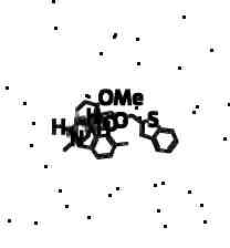 COC12CC[C@@]3(C[C@H]1COCc1cc4ccccc4s1)[C@H]1Cc4ccc(C)c5c4[C@@]3(CCN1C)[C@H]2O5